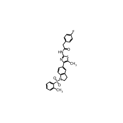 Cc1ccccc1S(=O)(=O)N1CCc2cc(-c3nc(NC(=O)Cc4ccc(F)cc4)sc3C)ccc21